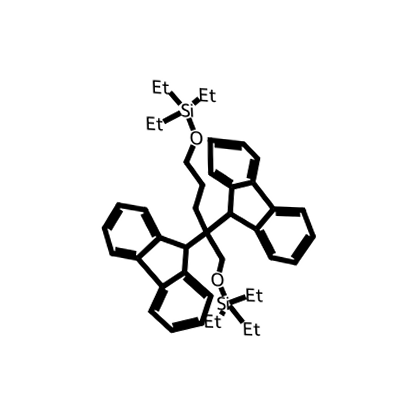 CC[Si](CC)(CC)OCCCC(CO[Si](CC)(CC)CC)(C1c2ccccc2-c2ccccc21)C1c2ccccc2-c2ccccc21